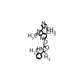 Cc1ccccc1C(C)NC(=O)COc1cc(C)c2c(-c3cncn3C)nn(C)c2n1